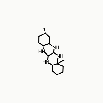 C[C@@H]1CCC2NC3NC4CCCCC4(C)NC3NC2C1